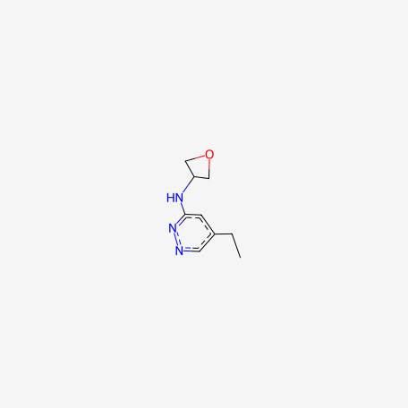 CCc1cnnc(NC2COC2)c1